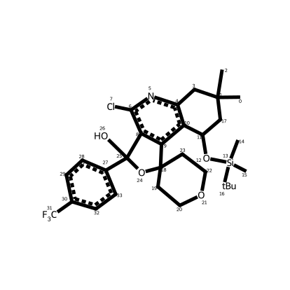 CC1(C)Cc2nc(Cl)c3c(c2C(O[Si](C)(C)C(C)(C)C)C1)C1(CCOCC1)OC3(O)c1ccc(C(F)(F)F)cc1